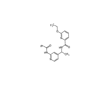 CC(C)C(=O)Nc1cc(C(C)NC(=O)c2cccc(OCC(F)(F)F)n2)ccn1